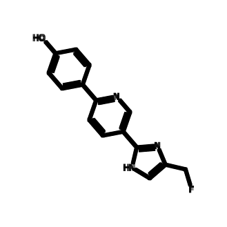 Oc1ccc(-c2ccc(-c3nc(CF)c[nH]3)cn2)cc1